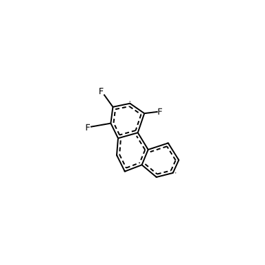 Fc1[c]c(F)c2c(ccc3c[c]ccc32)c1F